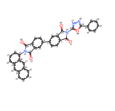 O=C1c2ccc(-c3ccc4c(c3)C(=O)N(c3cccc5cc6ccccc6cc35)C4=O)cc2C(=O)N1c1nnc(-c2ccccc2)o1